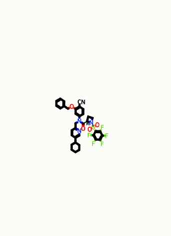 N#Cc1ccc(N(Cc2ccc(C3CCCCC3)cn2)C(=O)[C@H]2CCN2S(=O)(=O)c2c(F)c(F)c(F)c(F)c2F)cc1OCc1ccccc1